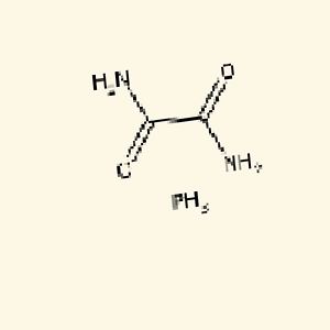 NC(=O)C(N)=O.P